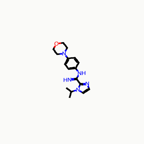 CC(C)n1ccnc1C(=N)Nc1ccc(N2CCOCC2)cc1